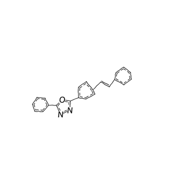 C(=C\c1ccc(-c2nnc(-c3ccccc3)o2)cc1)/c1ccccc1